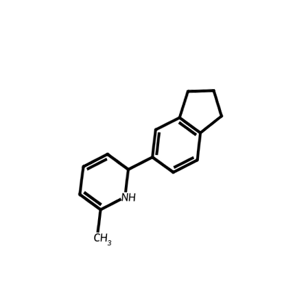 CC1=CC=CC(c2ccc3c(c2)CCC3)N1